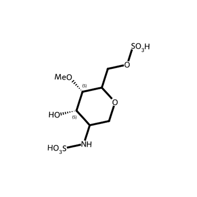 CO[C@@H]1C(COS(=O)(=O)O)OCC(NS(=O)(=O)O)[C@@H]1O